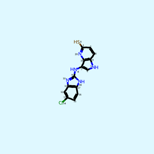 Sc1ccc2[nH]cc(Nc3nc4cc(Cl)ccc4[nH]3)c2n1